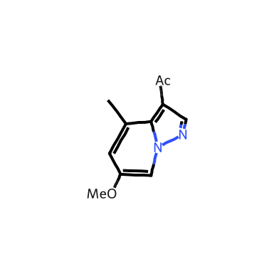 COc1cc(C)c2c(C(C)=O)cnn2c1